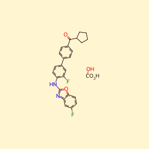 O=C(O)O.O=C(c1ccc(-c2ccc(Nc3nc4cc(F)ccc4o3)c(F)c2)cc1)C1CCCC1